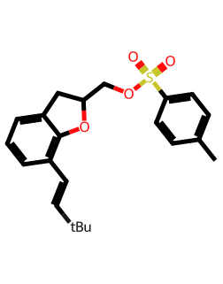 Cc1ccc(S(=O)(=O)OCC2Cc3cccc(C=CC(C)(C)C)c3O2)cc1